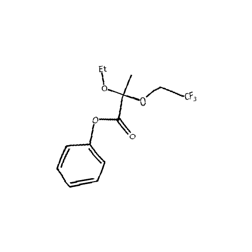 CCOC(C)(OCC(F)(F)F)C(=O)Oc1ccccc1